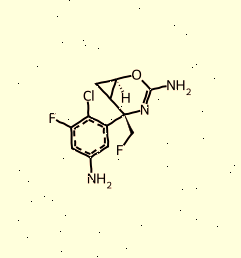 NC1=N[C@](CF)(c2cc(N)cc(F)c2Cl)C2C[C@H]2O1